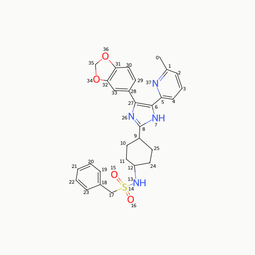 Cc1cccc(-c2[nH]c(C3CCC(NS(=O)(=O)Cc4ccccc4)CC3)nc2-c2ccc3c(c2)OCO3)n1